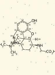 CO[C@@]12CC[C@H](NCC(=O)O)[C@@H]3Oc4c(O)ccc(c4C31C)CC2N(C)C